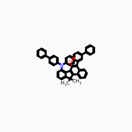 CC1(C)c2cccc(N(c3ccccc3)c3ccc(-c4ccccc4)cc3)c2-c2c1c1ccccc1c1c2oc2ccc(-c3ccccc3)cc21